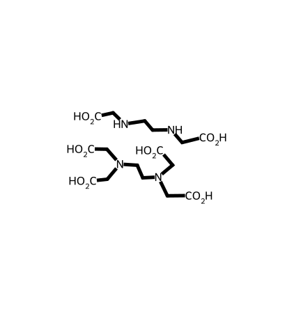 O=C(O)CN(CCN(CC(=O)O)CC(=O)O)CC(=O)O.O=C(O)CNCCNCC(=O)O